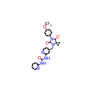 O=C(Nc1ccccn1)Nc1cc(CN2C(=O)N(c3ccc(OC(F)(F)F)cc3)C(=O)C23CC3)ccn1